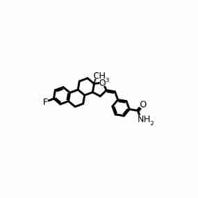 C[C@]12CCC3c4ccc(F)cc4CCC3C1C/C(=C\c1cccc(C(N)=O)c1)O2